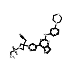 CCS(=O)(=O)N1CC(CC#N)(n2cc(-c3nc(Nc4cccc(N5CCOCC5)c4)nc4ccsc34)cn2)C1